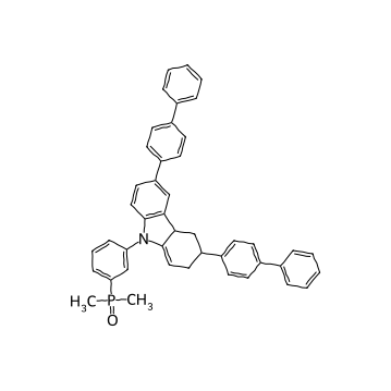 CP(C)(=O)c1cccc(N2C3=CCC(c4ccc(-c5ccccc5)cc4)CC3c3cc(-c4ccc(-c5ccccc5)cc4)ccc32)c1